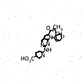 CN(C)C(=O)c1cc2cnc(Nc3ccc(C(=O)O)cn3)nc2n1C1CC2CCC1C2